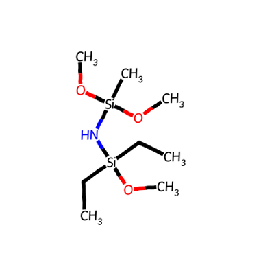 CC[Si](CC)(N[Si](C)(OC)OC)OC